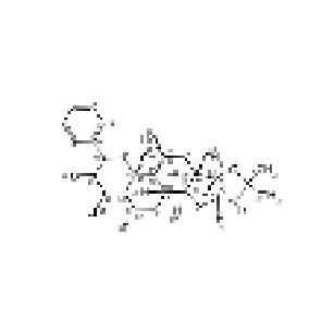 CC1(C)O[C@@H]2[C@@H](C[C@H]3[C@@H]4C[C@H](F)C5=C(Cl)C(=O)C(c6ccccc6)=C[C@]5(C)[C@@]4(F)[C@@H](O)C[C@]23C)O1